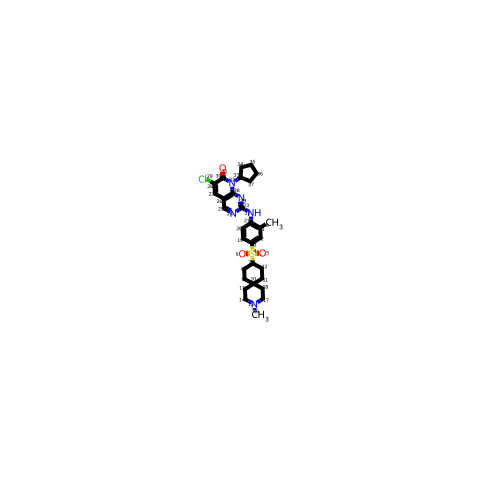 Cc1cc(S(=O)(=O)C2CCC3(CC2)CCN(C)CC3)ccc1Nc1ncc2cc(Cl)c(=O)n(C3CCCC3)c2n1